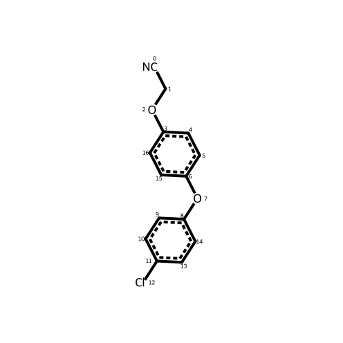 N#CCOc1ccc(Oc2ccc(Cl)cc2)cc1